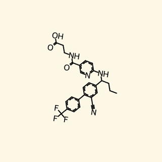 CCCC(Nc1ccc(C(=O)NCCC(=O)O)cn1)c1ccc(-c2ccc(C(F)(F)F)cc2)c(C#N)c1